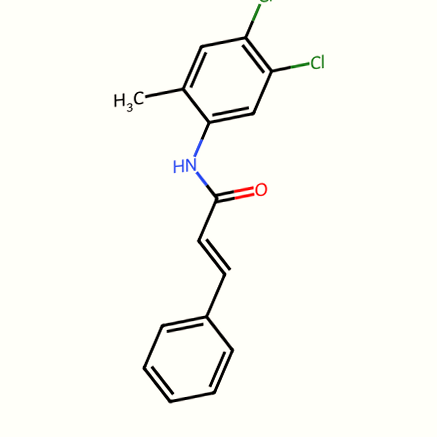 Cc1cc(Cl)c(Cl)cc1NC(=O)/C=C/c1ccccc1